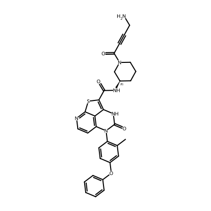 Cc1cc(Oc2ccccc2)ccc1N1C(=O)Nc2c(C(=O)N[C@@H]3CCCN(C(=O)C#CCN)C3)sc3nccc1c23